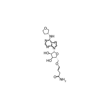 NC(=O)CC=COC[C@H]1O[C@@H](n2cnc3c(N[C@@H]4CCOC4)ncnc32)[C@H](O)[C@@H]1O